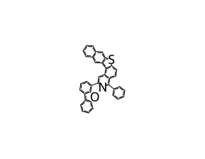 c1ccc(-c2nc(-c3cccc4c3oc3ccccc34)cc3c2ccc2sc4cc5ccccc5cc4c23)cc1